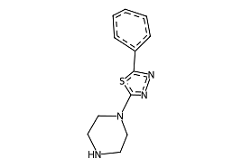 c1ccc(-c2nnc(N3CCNCC3)s2)cc1